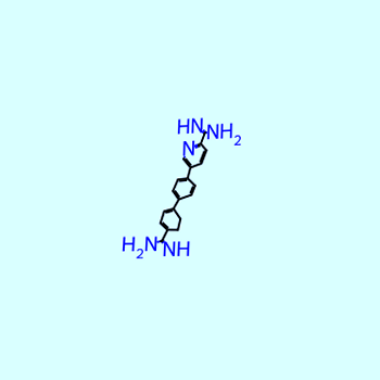 N=C(N)C1=CC=C(c2ccc(-c3ccc(C(=N)N)nc3)cc2)CC1